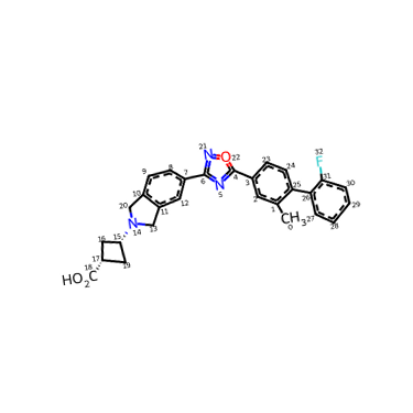 Cc1cc(-c2nc(-c3ccc4c(c3)CN([C@H]3C[C@@H](C(=O)O)C3)C4)no2)ccc1-c1ccccc1F